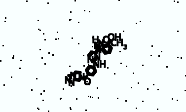 CC(C)(O)c1cccc2c1nnn2-c1ccnc(N[C@H]2CC[C@H](C(=O)N3CCn4cnnc4C3)CC2)n1